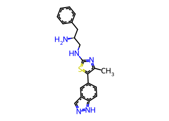 Cc1nc(NC[C@@H](N)Cc2ccccc2)sc1-c1ccc2[nH]ncc2c1